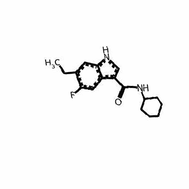 CCc1cc2[nH]cc(C(=O)NC3CCCCC3)c2cc1F